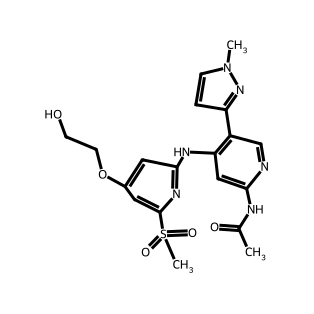 CC(=O)Nc1cc(Nc2cc(OCCO)cc(S(C)(=O)=O)n2)c(-c2ccn(C)n2)cn1